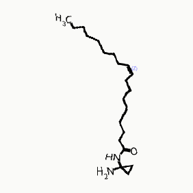 CCCCCCCC/C=C\CCCCCCCC(=O)NC1(N)CC1